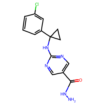 NNC(=O)c1cnc(NC2(c3cccc(Cl)c3)CC2)nc1